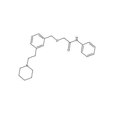 O=C(COCc1cccc(CCN2CCCCC2)c1)Nc1ccccc1